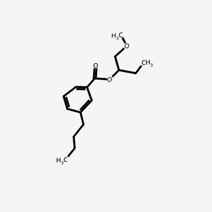 CCCCc1cccc(C(=O)OC(CC)COC)c1